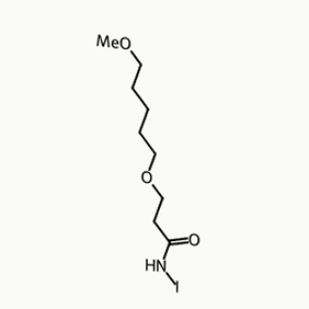 COCCCCCOCCC(=O)NI